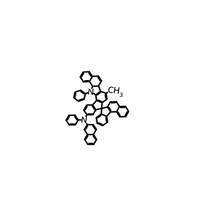 Cc1cc2c(c3c1C1C=Cc4ccccc4C1N3c1ccccc1)-c1ccc(N(c3ccccc3)c3ccc4ccccc4c3)cc1C21c2ccccc2-c2c1ccc1ccccc21